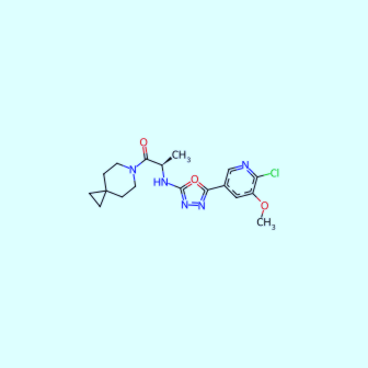 COc1cc(-c2nnc(N[C@H](C)C(=O)N3CCC4(CC3)CC4)o2)cnc1Cl